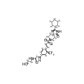 O=C(CNc1ccc(C=CS(=O)(=O)N2CCC3(CC2)N=C(C2CCCCC2)NC3=O)c(C(F)(F)F)c1)NCCO